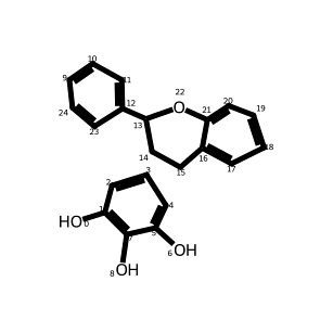 Oc1cccc(O)c1O.c1ccc(C2CCc3ccccc3O2)cc1